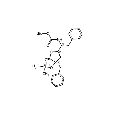 CC(C)(C)OC(=O)N[C@H](Cc1ccccc1)[C@H]1C[C@@](Cc2ccccc2)(O[Si](C)(C)C)C(=O)O1